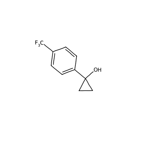 OC1(c2ccc(C(F)(F)F)cc2)CC1